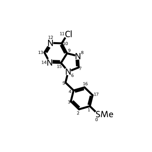 CSc1ccc(Cn2cnc3c(Cl)ncnc32)cc1